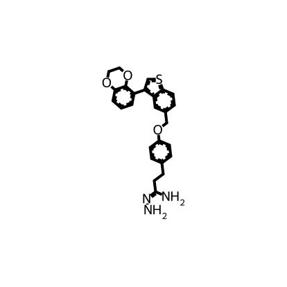 N/N=C(\N)CCc1ccc(OCc2ccc3scc(-c4cccc5c4OCCO5)c3c2)cc1